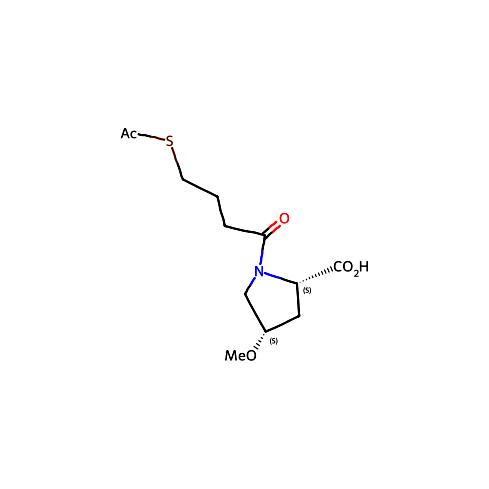 CO[C@H]1C[C@@H](C(=O)O)N(C(=O)CCCSC(C)=O)C1